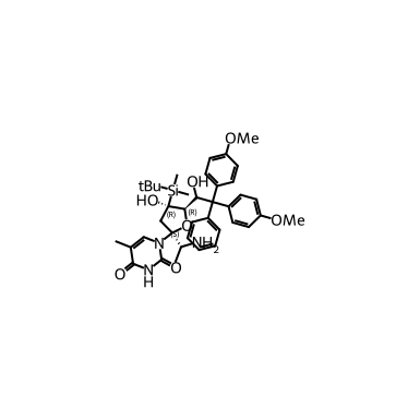 COc1ccc(C(c2ccccc2)(c2ccc(OC)cc2)C(O)[C@H]2O[C@@](C(C)N)(n3cc(C)c(=O)[nH]c3=O)C[C@@]2(O)[Si](C)(C)C(C)(C)C)cc1